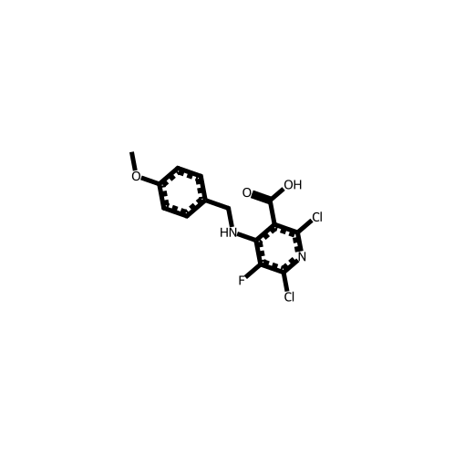 COc1ccc(CNc2c(F)c(Cl)nc(Cl)c2C(=O)O)cc1